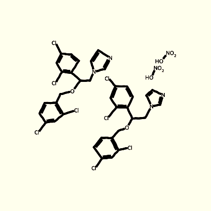 Clc1ccc(COC(Cn2ccnc2)c2ccc(Cl)cc2Cl)c(Cl)c1.Clc1ccc(COC(Cn2ccnc2)c2ccc(Cl)cc2Cl)c(Cl)c1.O=[N+]([O-])O.O=[N+]([O-])O